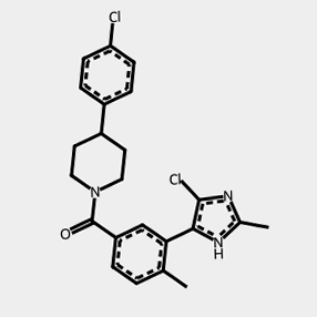 Cc1nc(Cl)c(-c2cc(C(=O)N3CCC(c4ccc(Cl)cc4)CC3)ccc2C)[nH]1